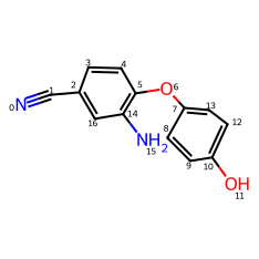 N#Cc1ccc(Oc2ccc(O)cc2)c(N)c1